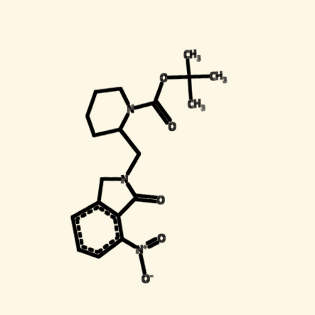 CC(C)(C)OC(=O)N1CCCCC1CN1Cc2cccc([N+](=O)[O-])c2C1=O